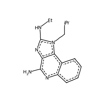 CCNc1nc2c(N)nc3ccccc3c2n1CC(C)C